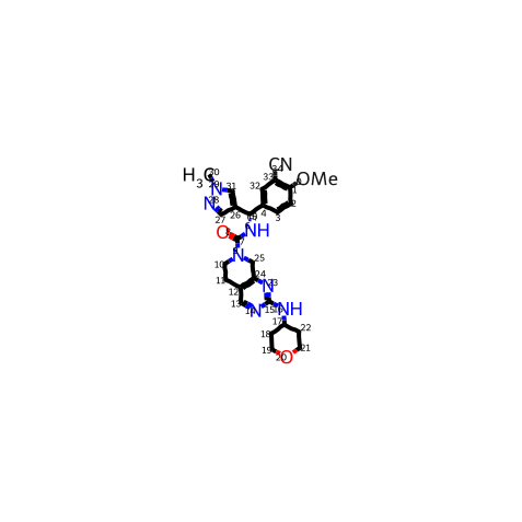 COc1ccc([C@H](NC(=O)N2CCc3cnc(NC4CCOCC4)nc3C2)c2cnn(C)c2)cc1C#N